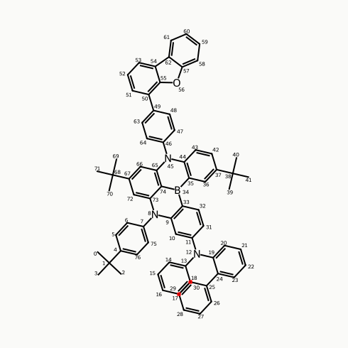 CC(C)(C)c1ccc(N2c3cc(N(c4ccccc4)c4ccccc4-c4ccccc4)ccc3B3c4cc(C(C)(C)C)ccc4N(c4ccc(-c5cccc6c5oc5ccccc56)cc4)c4cc(C(C)(C)C)cc2c43)cc1